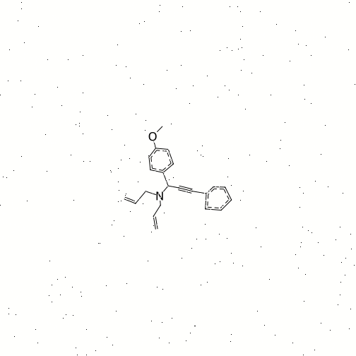 C=CCN(CC=C)C(C#Cc1ccccc1)c1ccc(OC)cc1